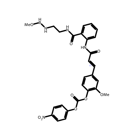 COBNCCNC(=O)c1ccccc1NC(=O)/C=C/c1ccc(OC(=O)Oc2ccc([N+](=O)[O-])cc2)c(OC)c1